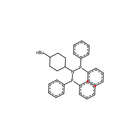 CCCCC1CCC(N(P(c2ccccc2)c2ccccc2)P(c2ccccc2)c2ccccc2)CC1